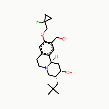 CC(C)(C)C[C@@H]1CN2CCc3cc(OCC4(F)CC4)c(CO)cc3[C@H]2C[C@H]1O